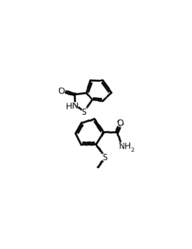 CSc1ccccc1C(N)=O.O=c1[nH]sc2ccccc12